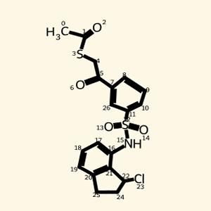 CC(=O)SCC(=O)c1cccc(S(=O)(=O)Nc2cccc3c2C(Cl)CC3)c1